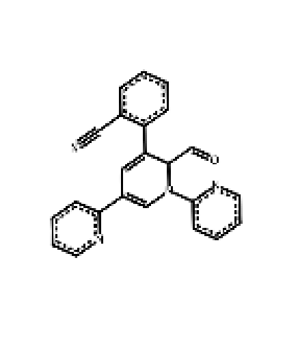 N#Cc1ccccc1C1=CC(c2ccccn2)=CN(c2ccccn2)C1C=O